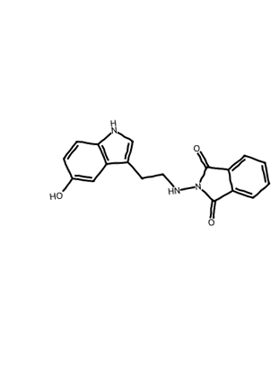 O=C1c2ccccc2C(=O)N1NCCc1c[nH]c2ccc(O)cc12